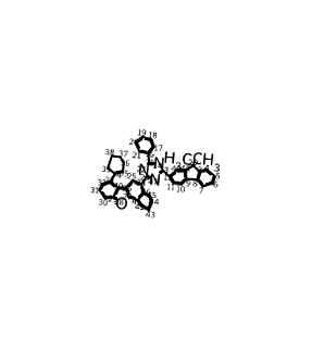 CC1(C)c2ccccc2-c2ccc(-c3nc(-c4ccccc4)nc(-c4cc5c(oc6cccc(C7=CCCCC7)c65)c5ccccc45)n3)cc21